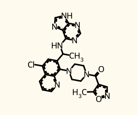 Cc1oncc1C(=O)N1CCN(c2c(C(C)Nc3ncnc4[nH]cnc34)cc(Cl)c3cccnc23)CC1